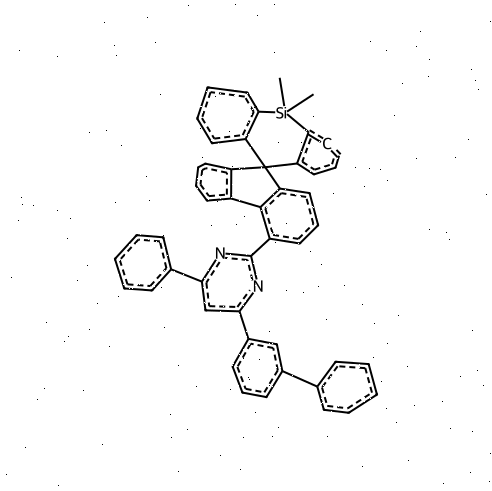 C[Si]1(C)c2ccccc2C2(c3ccccc3-c3c(-c4nc(-c5ccccc5)cc(-c5cccc(-c6ccccc6)c5)n4)cccc32)c2ccccc21